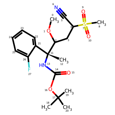 COC(CC(C#N)S(C)(=O)=O)[C@](C)(NC(=O)OC(C)(C)C)c1ccccc1F